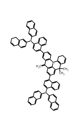 C=C1c2cc(-c3ccc(N(c4ccc5c(c4)CCC=C5)c4ccc5ccccc5c4)c4ccccc34)ccc2N2C3=C(C=CCC3)C(C)(C)c3cc(-c4ccc(N(c5ccc6ccccc6c5)c5ccc6ccccc6c5)c5ccccc45)cc1c32